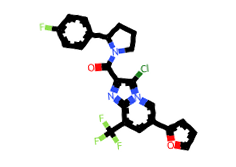 O=C(c1nc2c(C(F)(F)F)cc(-c3ccco3)cn2c1Cl)N1CCCC1c1ccc(F)cc1